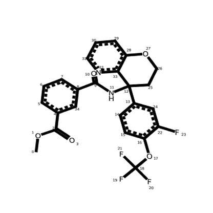 COC(=O)c1cccc(C(=O)NC2(c3ccc(OC(F)(F)F)c(F)c3)CCOc3cccnc32)c1